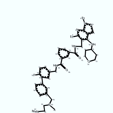 CCc1nc2c(cnn2CC)c(NC2CCOCC2)c1CNC(=O)c1cccc(C(=O)NCc2ccc(F)c(-c3cccc(CN(C)CCNC)c3)c2)c1